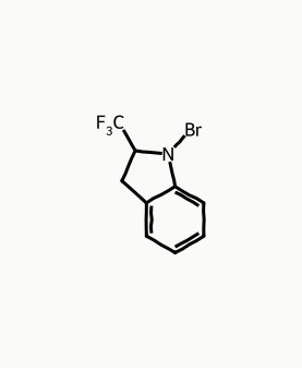 FC(F)(F)C1Cc2ccccc2N1Br